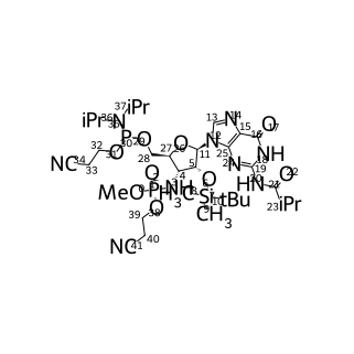 COP(=O)(N[C@H]1[C@@H](O[Si](C)(C)C(C)(C)C)[C@H](n2cnc3c(=O)[nH]c(NC(=O)C(C)C)nc32)O[C@@H]1COP(OCCC#N)N(C(C)C)C(C)C)OCCC#N